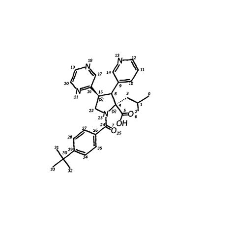 CC(C)C[C@@]1(C(=O)O)C(c2cccnc2)[C@H](c2cnccn2)CN1C(=O)c1ccc(C(C)(C)C)cc1